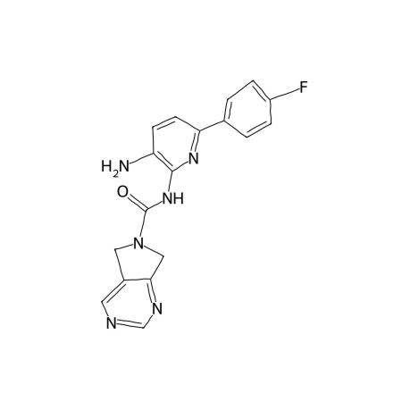 Nc1ccc(-c2ccc(F)cc2)nc1NC(=O)N1Cc2cncnc2C1